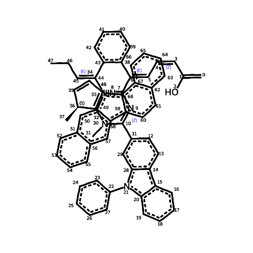 C=C(O)/C=C\C=C(\C(=N)/N=C(/c1ccc2c3ccccc3n(-c3ccccc3)c2c1)N(C)C1=CC=C[C@@H]1C)c1ccccc1/C(=C\CC)n1c2cc3ccccc3cc2c2ccc3ccccc3c21